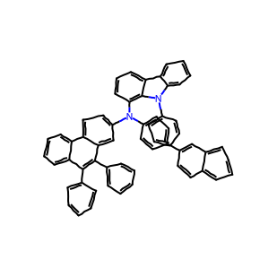 c1ccc(-c2c(-c3ccccc3)c3cc(N(c4ccc(-c5ccc6ccccc6c5)cc4)c4cccc5c6ccccc6n(-c6ccccc6)c45)ccc3c3ccccc23)cc1